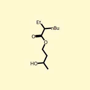 CCCCC(CC)C(=O)OCCC(C)O